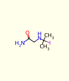 CC(C)(I)NCC(N)=O